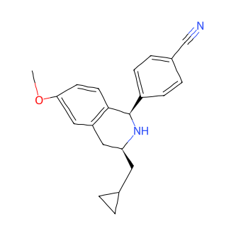 COc1ccc2c(c1)C[C@H](CC1CC1)N[C@@H]2c1ccc(C#N)cc1